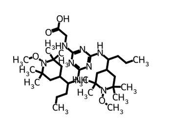 CCCC(Nc1nc(NCC(=O)O)nc(NC(CCC)C2CC(C)(C)N(OC)C(C)(C)C2)n1)C1CC(C)(C)N(OC)C(C)(C)C1